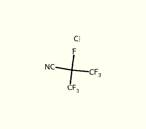 N#CC(F)(C(F)(F)F)C(F)(F)F.[C]